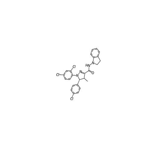 CC1C(C(=O)NN2CCc3ccccc32)=NN(c2ccc(Cl)cc2Cl)C1c1ccc(Cl)cc1